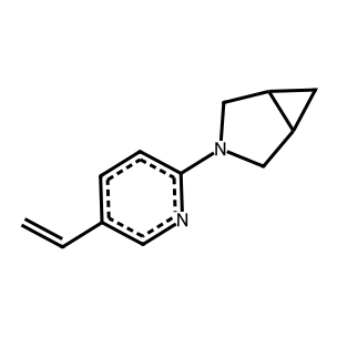 C=Cc1ccc(N2CC3CC3C2)nc1